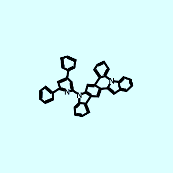 c1ccc(-c2cc(-c3ccccc3)nc(-n3c4ccccc4c4cc5c(cc43)c3ccccc3n3c4ccccc4cc53)c2)cc1